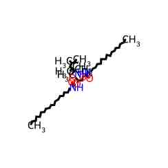 CCCCCCCCCCCCCCCCCCNC(=O)OC(COC(=O)NCCCCCCCCCCCCCCCC)C(=O)NC(C)(C)C(C)(C)CC(C)CC